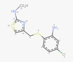 Nc1cc(Cl)ccc1SCc1csc(NC(=O)O)n1